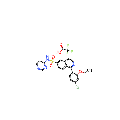 N#CCOc1cc(Cl)ccc1-c1nccc2cc(S(=O)(=O)Nc3ccncn3)ccc12.O=C(O)C(F)(F)F